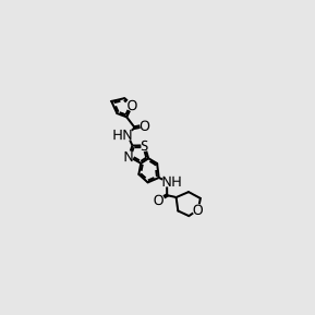 O=C(Nc1nc2ccc(NC(=O)C3CCOCC3)cc2s1)c1ccco1